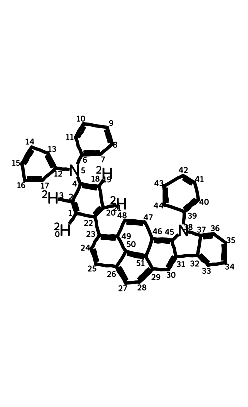 [2H]c1c([2H])c(N(c2ccccc2)c2ccccc2)c([2H])c([2H])c1-c1ccc2ccc3cc4c5ccccc5n(-c5ccccc5)c4c4ccc1c2c34